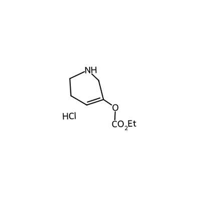 CCOC(=O)OC1=CCCNC1.Cl